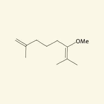 C=C(C)CCCC(OC)=C(C)C